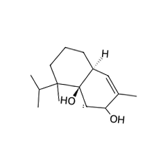 CC1=C[C@@H]2CCCC(C)(C(C)C)[C@@]2(O)[C]C1O